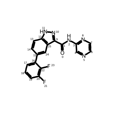 O=C(Nc1cnccn1)c1n[nH]c2ccc(-c3cccc(F)c3F)cc12